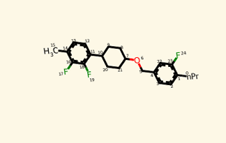 CCCc1ccc(COC2CCC(c3ccc(C)c(F)c3F)CC2)cc1F